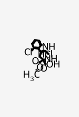 CCOC(=O)C1(C(=O)O)Cc2c([nH]c3cccc(Cl)c23)CN1.Cl